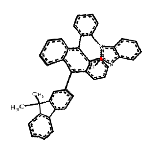 CCc1nc2ccccc2n1-c1ccccc1-c1c2ccccc2c(-c2ccc3c(c2)C(C)(C)c2ccccc2-3)c2ccccc12